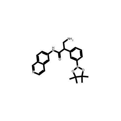 CC1(C)OB(c2cccc(C(CN)C(=O)Nc3ccc4cnccc4c3)c2)OC1(C)C